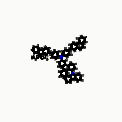 CC1(C)c2ccccc2-c2ccc(-c3ccc(N(c4ccc(-c5ccc6c(ccc7ccccc76)c5)cc4)c4ccc(-c5ccccc5-c5ccccc5-n5c6ccccc6c6ccccc65)cc4)cc3)cc21